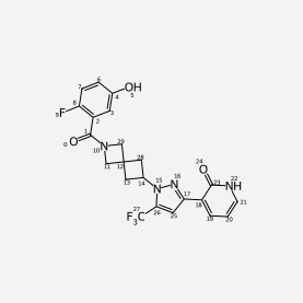 O=C(c1cc(O)ccc1F)N1CC2(CC(n3nc(-c4ccc[nH]c4=O)cc3C(F)(F)F)C2)C1